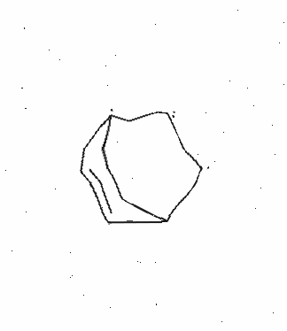 [C]1[CH]C2C=C[C]1CC2